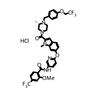 COc1cc(C(F)(F)F)ccc1C(=O)Nc1ccc(Oc2ccc3cc(C(=O)N4CCN(Cc5ccc(OCC(F)(F)F)cc5)[C@@H](C)C4)n(C)c3c2)nc1.Cl